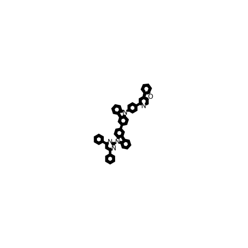 c1ccc(-c2cc(-c3ccccc3)nc(-n3c4ccccc4c4cc(-c5ccc6c(c5)c5ccccc5n6-c5ccc(-c6cc7c(cn6)oc6ccccc67)cc5)ccc43)n2)cc1